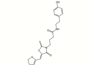 O=C(CCCN1C(=O)/C(=C/C2=CCCS2)SC1=S)NCCc1ccc(O)cc1